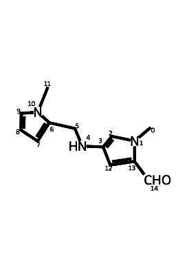 Cn1cc(NCc2cccn2C)cc1C=O